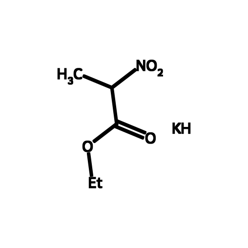 CCOC(=O)C(C)[N+](=O)[O-].[KH]